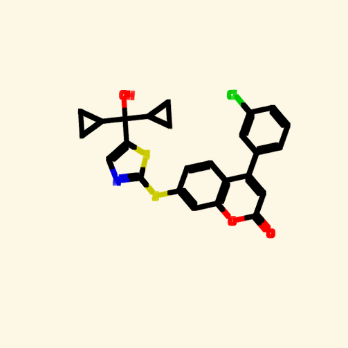 O=c1cc(-c2cccc(Cl)c2)c2ccc(Sc3ncc(C(O)(C4CC4)C4CC4)s3)cc2o1